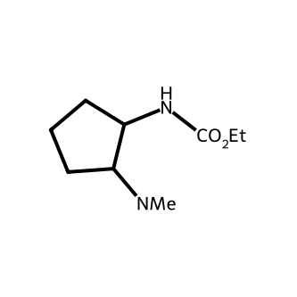 CCOC(=O)NC1CCCC1NC